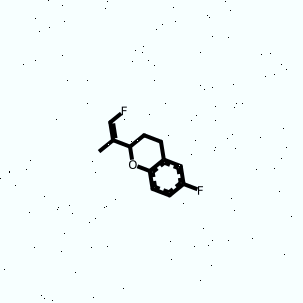 C/C(=C/F)C1CCc2cc(F)ccc2O1